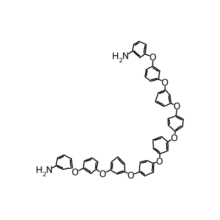 Nc1cccc(Oc2cccc(Oc3cccc(Oc4ccc(Oc5cccc(Oc6ccc(Oc7cccc(Oc8cccc(Oc9cccc(N)c9)c8)c7)cc6)c5)cc4)c3)c2)c1